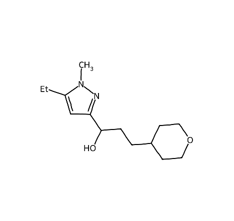 CCc1cc(C(O)CCC2CCOCC2)nn1C